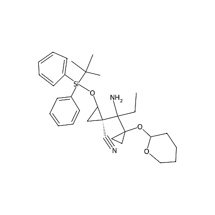 CCC(N)(C1(OC2CCCCO2)CC1)[C@@]1(C#N)CC1O[Si](c1ccccc1)(c1ccccc1)C(C)(C)C